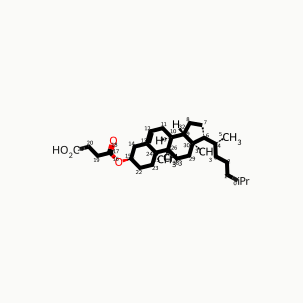 CC(C)CCC[C@@H](C)[C@H]1CC[C@H]2[C@@H]3CC=C4C[C@H](OC(=O)CCC(=O)O)CC[C@]4(C)[C@@]3(C)CC[C@]12C